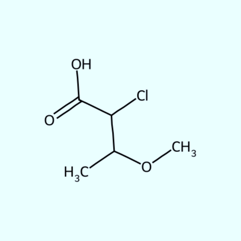 COC(C)C(Cl)C(=O)O